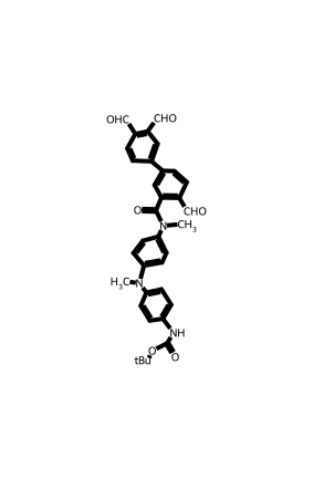 CN(C(=O)c1cc(-c2ccc(C=O)c(C=O)c2)ccc1C=O)c1ccc(N(C)c2ccc(NC(=O)OC(C)(C)C)cc2)cc1